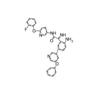 N=C(C(=O)Nc1ccc(Oc2ccccc2F)nc1)c1cc(-c2cncc(Oc3ccccc3)c2)ccc1N